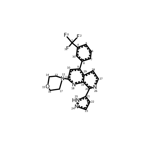 FC(F)(F)c1cccc(-c2cc(N3CCOCC3)nc3c(-c4ccn[nH]4)nccc23)c1